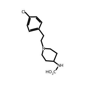 O=C(O)NC1CCN(CCc2ccc(Cl)cc2)CC1